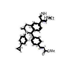 CCN/C=C(\C=N)c1ccc2c(c1)CC(C)N(c1ccc(C3CC3)cc1)C2c1ccc(/C=C/C(=O)OC)cc1